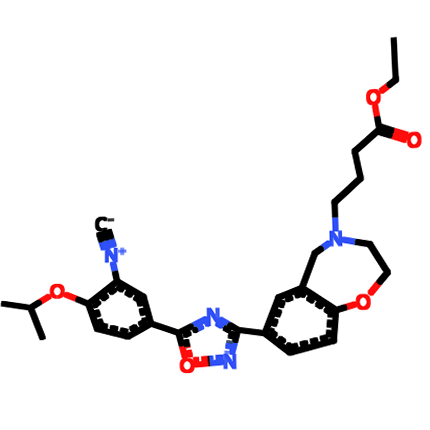 [C-]#[N+]c1cc(-c2nc(-c3ccc4c(c3)CN(CCCC(=O)OCC)CCO4)no2)ccc1OC(C)C